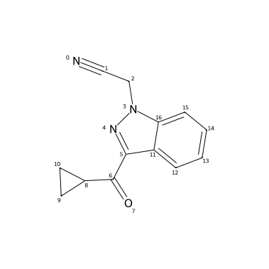 N#CCn1nc(C(=O)C2CC2)c2ccccc21